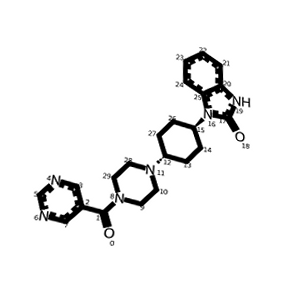 O=C(c1cncnc1)N1CCN([C@H]2CC[C@H](n3c(=O)[nH]c4ccccc43)CC2)CC1